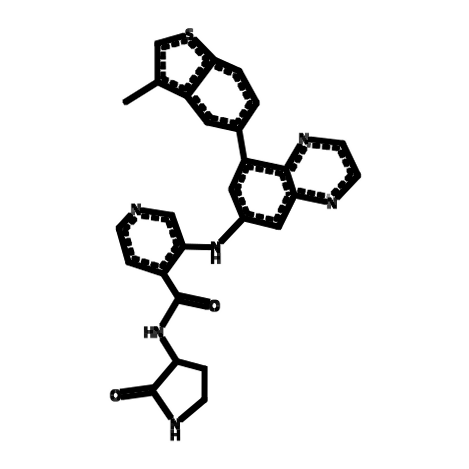 Cc1csc2ccc(-c3cc(Nc4cnccc4C(=O)NC4CCNC4=O)cc4nccnc34)cc12